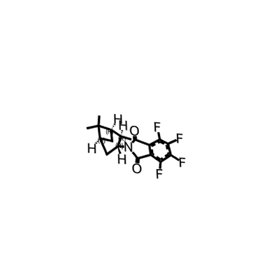 C[C@H]1[C@H](N2C(=O)c3c(F)c(F)c(F)c(F)c3C2=O)C[C@@H]2C[C@H]1C2(C)C